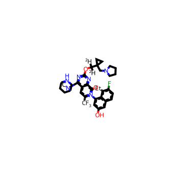 [2H]C([2H])(Oc1nc(N2CC3CCC2CN3)c2cc(C(F)(F)F)n(-c3cc(O)cc4ccc(F)c(CC)c34)c(=O)c2n1)C1(CN2CCCC2)CC1